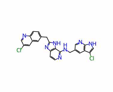 Clc1cnc2ccc(Cc3nc4ccnc(NCc5cnc6[nH]cc(Cl)c6c5)c4[nH]3)cc2c1